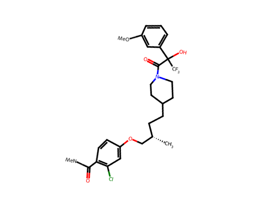 CNC(=O)c1ccc(OC[C@@H](C)CCC2CCN(C(=O)C(O)(c3cccc(OC)c3)C(F)(F)F)CC2)cc1Cl